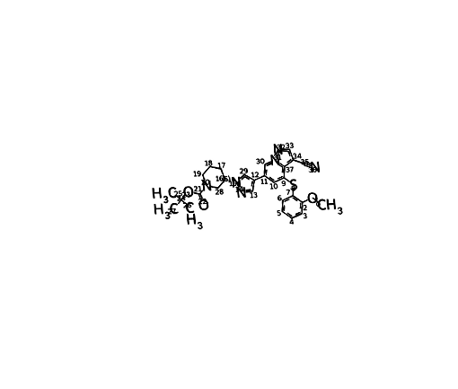 COc1ccccc1Sc1cc(-c2cnn([C@H]3CCCN(C(=O)OC(C)(C)C)C3)c2)cn2ncc(C#N)c12